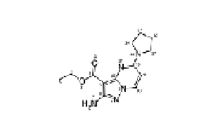 CCOC(=O)c1c(N)nn2ccc(N3CCCC3)nc12